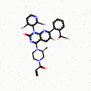 BC(=O)c1ccccc1-c1nc2c(cc1Cl)c(N1CCN(C(=O)C=C)C[C@@H]1C)nc(=O)n2-c1c(CC)ccnc1C(C)C